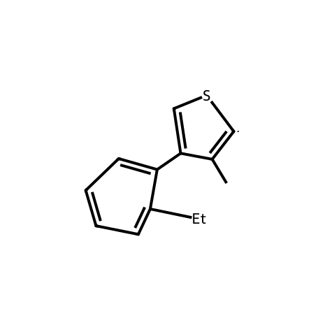 CCc1ccccc1-c1cs[c]c1C